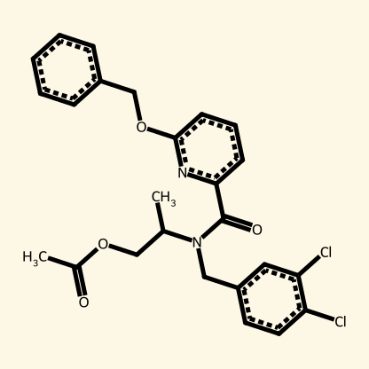 CC(=O)OCC(C)N(Cc1ccc(Cl)c(Cl)c1)C(=O)c1cccc(OCc2ccccc2)n1